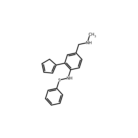 CNCc1ccc(NSc2ccccc2)c(C2=CC=CC2)c1